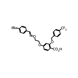 CC(C)(C)c1ccc(/C=N/OCCOc2ccc(C(=O)O)c(OCc3ccc(C(F)(F)F)cc3)c2)cc1